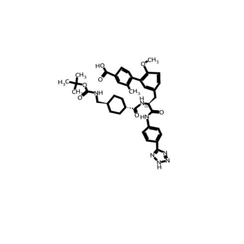 COc1ccc(C[C@H](NC(=O)[C@H]2CC[C@H](CNC(=O)OC(C)(C)C)CC2)C(=O)Nc2ccc(-c3nn[nH]n3)cc2)cc1-c1ccc(C(=O)O)cc1C